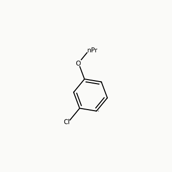 CCCOc1cc[c]c(Cl)c1